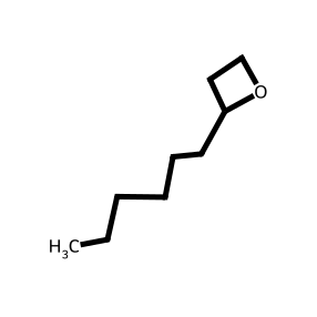 CCCCCCC1CCO1